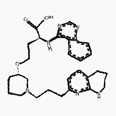 O=C(O)[C@H](CCO[C@H]1CCCN(CCCc2ccc3c(n2)NCCC3)C1)Nc1ncnc2ccccc12